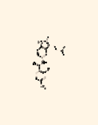 Cc1[nH]c2ccc(NC(=O)c3ccc(C(F)(F)F)cc3F)cc2c1CCN(C)C